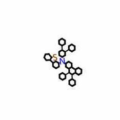 c1ccc(-c2ccc(N(c3ccc4c(c3)c(-c3ccccc3)c(-c3ccccc3)c3ccccc34)c3cccc4c3sc3ccccc34)cc2-c2ccccc2)cc1